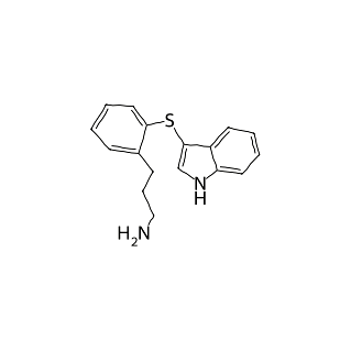 NCCCc1ccccc1Sc1c[nH]c2ccccc12